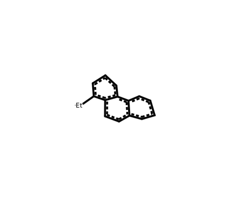 C[CH]c1cccc2c1ccc1ccccc12